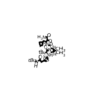 CC(C)(C)NC(=O)Cc1csc(N[C@H](C(=O)N2C[C@H]3[C@@H]([C@H]2C(=O)NC(CC2CCC2)C(=O)C(N)=O)C3(C)C)C(C)(C)C)n1